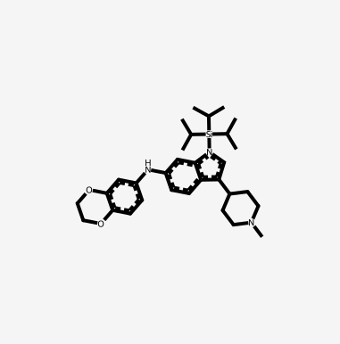 CC(C)[Si](C(C)C)(C(C)C)n1cc(C2CCN(C)CC2)c2ccc(Nc3ccc4c(c3)OCCO4)cc21